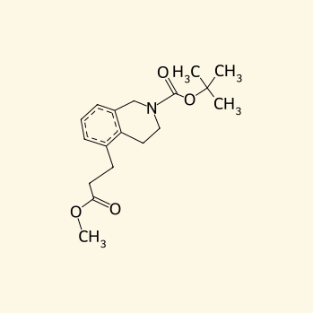 COC(=O)CCc1cccc2c1CCN(C(=O)OC(C)(C)C)C2